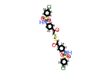 O=C(CSSCC(=O)c1ccc(NS(=O)(=O)c2ccc(Cl)cc2)cc1)c1ccc(NS(=O)(=O)c2ccc(Cl)cc2)cc1